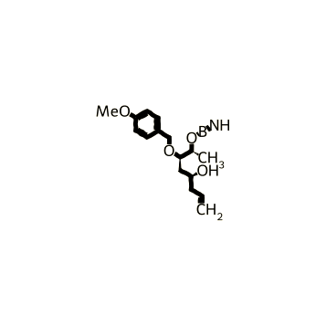 C=CC[C@H](O)C[C@@H](OCc1ccc(OC)cc1)[C@@H](C)OB=N